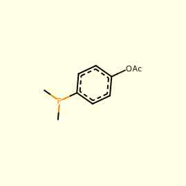 CC(=O)Oc1ccc(P(C)C)cc1